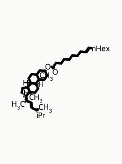 CCCCCCC=CCCCCCCCC(=O)OC1CC[C@@]2(C)C(CC[C@H]3[C@@H]4CC[C@H]([C@H](C)C=C[C@H](C)C(C)C)[C@@]4(C)CC[C@@H]32)C1